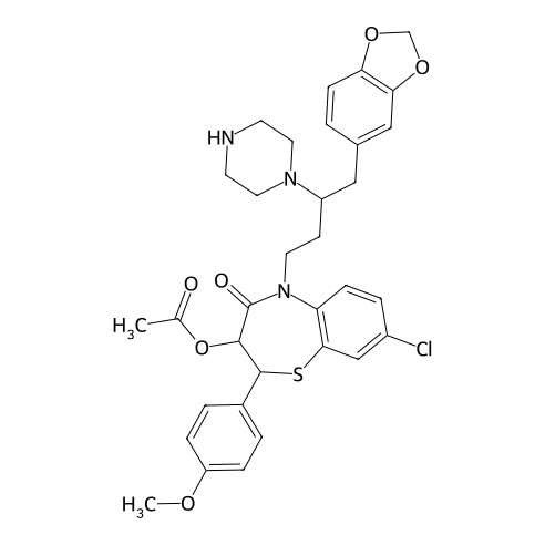 COc1ccc(C2Sc3cc(Cl)ccc3N(CCC(Cc3ccc4c(c3)OCO4)N3CCNCC3)C(=O)C2OC(C)=O)cc1